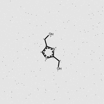 OCc1csc(CO)n1